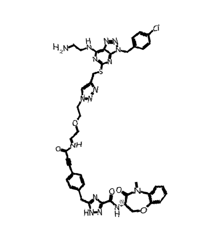 CN1C(=O)[C@@H](NC(=O)c2n[nH]c(Cc3ccc(C#CC(=O)NCCOCCn4cc(CSc5nc(NCCN)c6nnn(Cc7ccc(Cl)cc7)c6n5)nn4)cc3)n2)COc2ccccc21